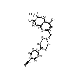 CC1Oc2c(F)cc(CN3CCN(c4ccc(C#N)cc4)CC3)cc2NC1=O